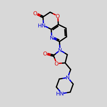 O=C1COc2ccc(N3CC(CN4CCNCC4)OC3=O)nc2N1